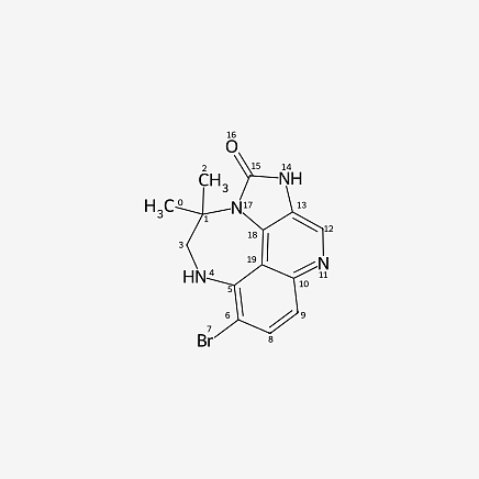 CC1(C)CNc2c(Br)ccc3ncc4[nH]c(=O)n1c4c23